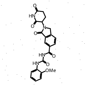 COc1ccccc1NC(=O)NC(=O)c1ccc2c(c1)C(=O)N(C1CCC(=O)NC1=O)C2